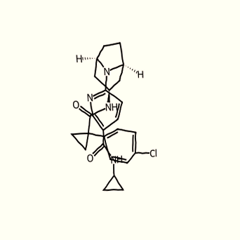 O=C(NC1CC1)c1ccc(N2[C@@H]3CC[C@H]2C[C@@H](NC(=O)C2(c4ccc(Cl)cc4)CC2)C3)nc1